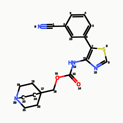 N#Cc1cccc(-c2scnc2NC(=O)OCC23CCN(CC2)CC3)c1